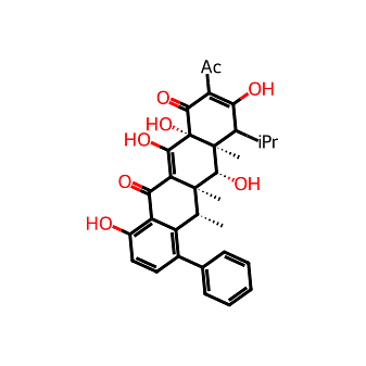 CC(=O)C1=C(O)C(C(C)C)[C@@]2(C)[C@H](O)[C@]3(C)C(=C(O)[C@@]2(O)C1=O)C(=O)c1c(O)ccc(-c2ccccc2)c1[C@H]3C